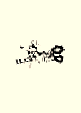 CC(C)C[C@H](NC(=O)OC(C)(C)C)C1CC1CCO[Si](c1ccccc1)(c1ccccc1)C(C)(C)C